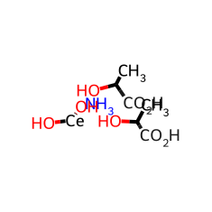 CC(O)C(=O)O.CC(O)C(=O)O.N.[OH][Ce][OH]